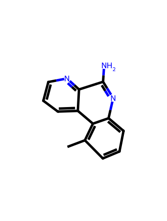 Cc1cccc2nc(N)c3ncccc3c12